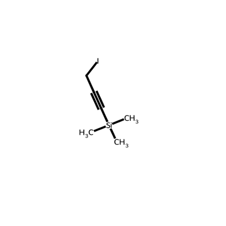 C[Si](C)(C)C#CCI